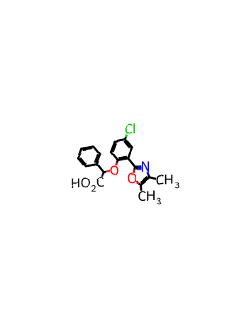 Cc1nc(-c2cc(Cl)ccc2OC(C(=O)O)c2ccccc2)oc1C